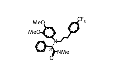 CNC(=O)[C@H](c1ccccc1)N(CCCc1ccc(C(F)(F)F)cc1)c1ccc(OC)c(OC)c1